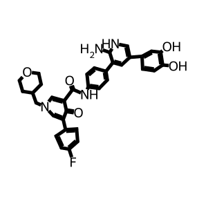 NC1NC=C(c2ccc(O)c(O)c2)C=C1c1ccc(NC(=O)c2cn(CC3CCOCC3)cc(-c3ccc(F)cc3)c2=O)cc1